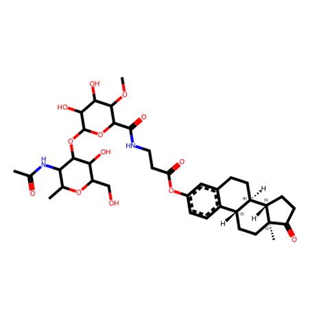 COC1C(C(=O)NCCC(=O)Oc2ccc3c(c2)CC[C@@H]2[C@@H]3CC[C@]3(C)C(=O)CC[C@@H]23)OC(OC2C(O)C(CO)OC(C)C2NC(C)=O)C(O)C1O